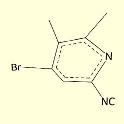 [C-]#[N+]c1cc(Br)c(C)c(C)n1